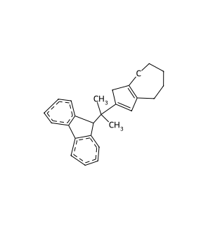 CC(C)(C1=CC2=C(CCCCC2)C1)C1c2ccccc2-c2ccccc21